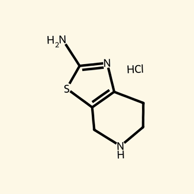 Cl.Nc1nc2c(s1)CNCC2